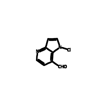 O=Cc1ccnc2ccn(Cl)c12